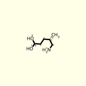 C[C@H](CN)CCC(O)O